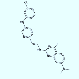 Cc1nc(N/C=C/c2ccc(Nc3cccc(C(F)(F)F)c3)cn2)nc2cc(N(C)C)ccc12